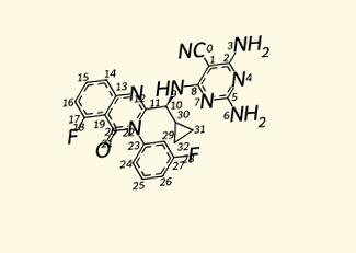 N#Cc1c(N)nc(N)nc1N[C@H](c1nc2cccc(F)c2c(=O)n1-c1cccc(F)c1)C1CC1